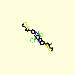 CC1=C(Cl)C2=Nc3ccc(-c4cc(C)c(C5=CCCS5)s4)cc3CC2=C(Cl)/C1=N/c1ccc(-c2ccc(-c3cccs3)s2)cc1